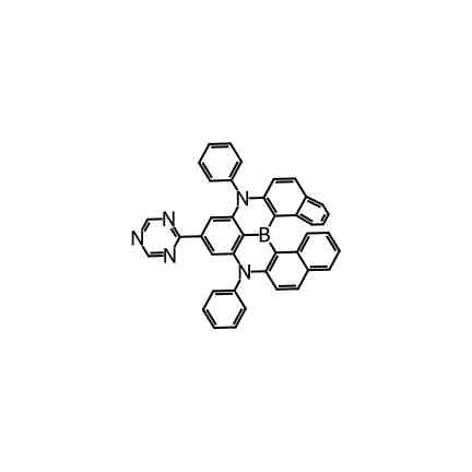 c1ccc(N2c3cc(-c4ncncn4)cc4c3B(c3c2ccc2ccccc32)c2c(ccc3ccccc23)N4c2ccccc2)cc1